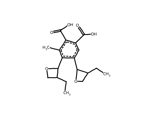 CCC1COC1c1cc(C(=O)O)c(C(=O)O)c(C)c1C1OCC1CC